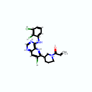 C=CC(=O)N1CCCC(c2nc3c(Nc4cccc(Cl)c4F)ncnc3cc2F)C1